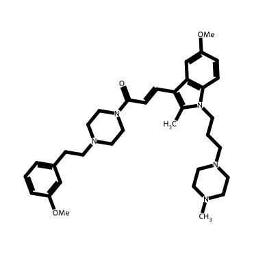 COc1cccc(CCN2CCN(C(=O)/C=C/c3c(C)n(CCCN4CCN(C)CC4)c4ccc(OC)cc34)CC2)c1